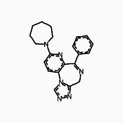 c1ccc(C2=NCc3nncn3-c3ccc(N4CCCCCC4)nc32)cc1